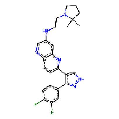 CC1(C)CCCN1CCNc1cnc2ccc(-c3c[nH]nc3-c3ccc(F)c(F)c3)nc2c1